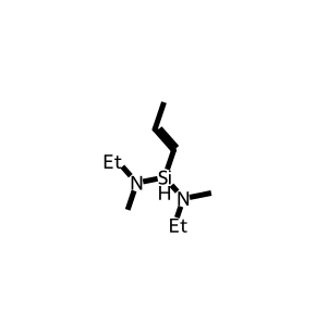 CC=C[SiH](N(C)CC)N(C)CC